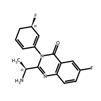 C[C@H](N)c1nc2ccc(F)cc2c(=O)n1C1=C[C@H](F)CC=C1